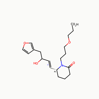 O=C(O)CCOCCCN1C(=O)CCC[C@@H]1/C=C/C(O)Cc1ccoc1